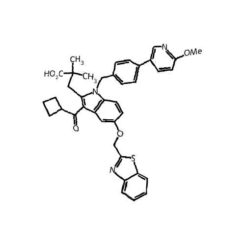 COc1ccc(-c2ccc(Cn3c(CC(C)(C)C(=O)O)c(C(=O)C4CCC4)c4cc(OCc5nc6ccccc6s5)ccc43)cc2)cn1